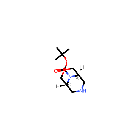 CC(C)(C)OC(=O)N1[C@@H]2CNC[C@@H]1COC2